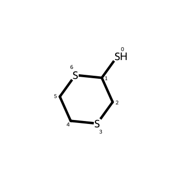 SC1CSCCS1